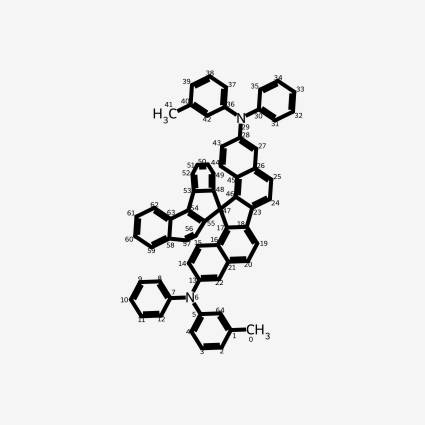 Cc1cccc(N(c2ccccc2)c2ccc3c4c(ccc3c2)-c2ccc3cc(N(c5ccccc5)c5cccc(C)c5)ccc3c2C42c3ccccc3-c3c2ccc2ccccc32)c1